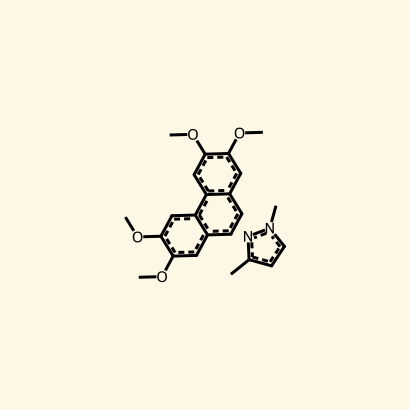 COc1cc2ccc3cc(OC)c(OC)cc3c2cc1OC.Cc1ccn(C)n1